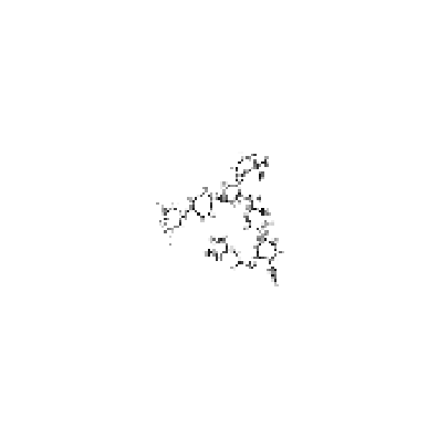 CC(Cn1cnnn1)Oc1cc(-c2cnc(Nc3cn(C4CCC(N5C[C@@H](C)O[C@@H](C)C5)CC4)nc3OCCOC(F)(F)F)nc2)ccc1C#N